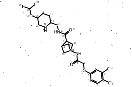 O=C(COc1ccc(Cl)c(Cl)c1)NC12CC(C1)C(C(=O)NCC1CCC(OC(F)F)CN1)C2